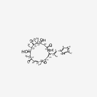 CC(=Cc1csc(C)n1)C1CC2OC2(C)C=CC(=O)C(C)C(O)C(C)C(=O)C(C)(C)C(O)CC(=O)N1